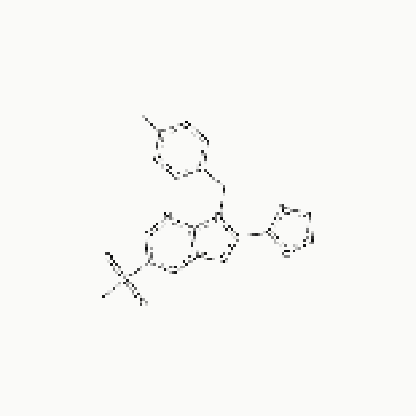 CS(=O)(=O)c1cnc2c(c1)cc(-c1ncco1)n2Cc1ccc(F)cc1